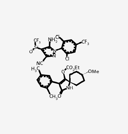 CCOC(=O)OC1=C(c2cc(C)ccc2C)C(=O)N[C@]12CC[C@@H](OC)CC2.N#Cc1nn(-c2c(Cl)cc(C(F)(F)F)cc2Cl)c(N)c1[S+]([O-])C(F)(F)F